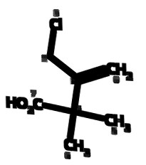 C=C(CCl)C(C)(C)C(=O)O